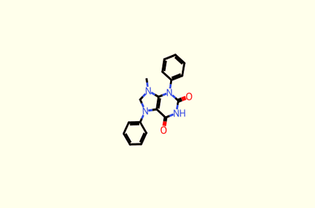 CN1CN(c2ccccc2)c2c1n(-c1ccccc1)c(=O)[nH]c2=O